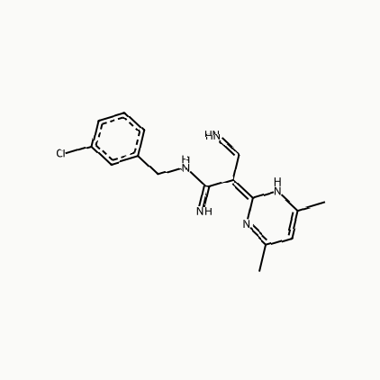 CC1=CC(C)=N/C(=C(/C=N)C(=N)NCc2cccc(Cl)c2)N1